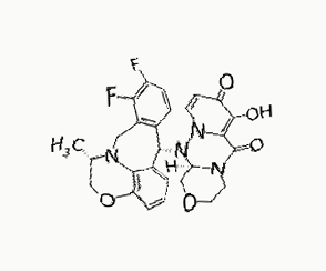 C[C@H]1COc2cccc3c2N1Cc1c(ccc(F)c1F)[C@@H]3N1[C@@H]2COCCN2C(=O)c2c(O)c(=O)ccn21